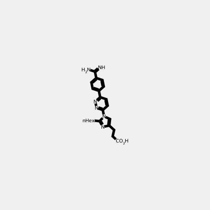 CCCCCCc1nc(CCC(=O)O)cn1-c1ccc(-c2ccc(C(=N)N)cc2)nn1